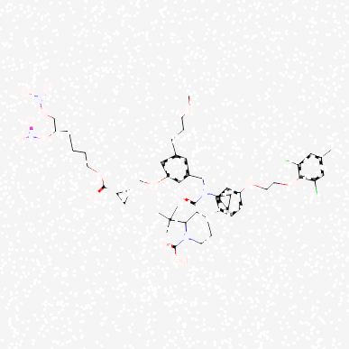 COCCCc1cc(CN(C(=O)[C@H]2C(C(C)(C)C)N(C(=O)O)CC[C@@H]2c2ccc(OCCOc3c(Cl)cc(C)cc3Cl)cc2)C2CC2)cc(OC[C@@H]2C[C@H]2C(=O)OCCCC[C@H](CO[N+](=O)[O-])O[N+](=O)[O-])c1